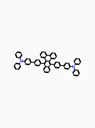 c1ccc(N(c2ccccc2)c2ccc(-c3ccc(-c4c5ccccc5c(-c5ccc(-c6ccc(N(c7ccccc7)c7ccccc7)cc6)cc5)c5c6ccccc6c6ccccc6c45)cc3)cc2)cc1